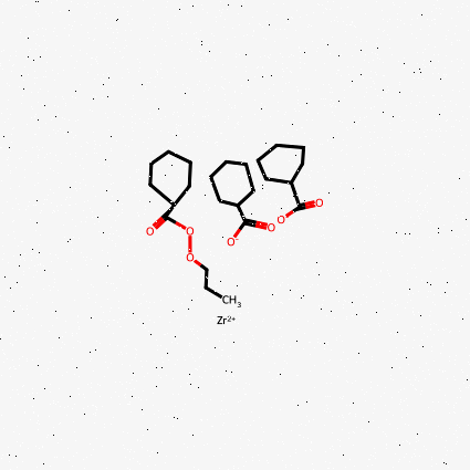 CCCOOC(=O)C1CCCCC1.O=C([O-])C1CCCCC1.O=C([O-])C1CCCCC1.[Zr+2]